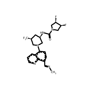 C/N=C/c1ccc(N2C[C@H](NC(=O)N3C[C@@H](F)[C@@H](F)C3)C[C@H](C(F)(F)F)C2)c2cccnc12